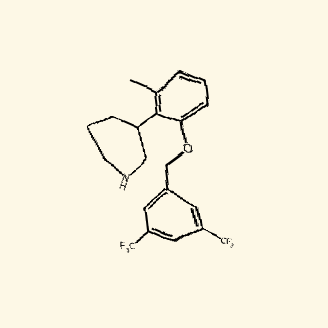 Cc1cccc(OCc2cc(C(F)(F)F)cc(C(F)(F)F)c2)c1C1CCCNC1